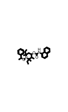 CCC1(C)CC(OC(=O)Nc2cccc3ccccc23)C(C)C(C)(CC)N1OC(C)c1ccccc1